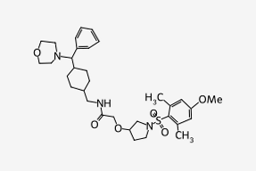 COc1cc(C)c(S(=O)(=O)N2CCC(OCC(=O)NCC3CCC(C(c4ccccc4)N4CCOCC4)CC3)C2)c(C)c1